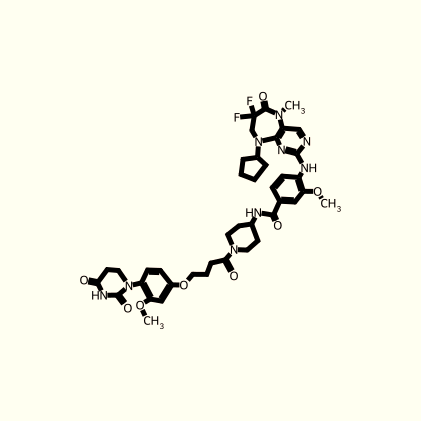 COc1cc(C(=O)NC2CCN(C(=O)CCCOc3ccc(N4CCC(=O)NC4=O)c(OC)c3)CC2)ccc1Nc1ncc2c(n1)N(C1CCCC1)CC(F)(F)C(=O)N2C